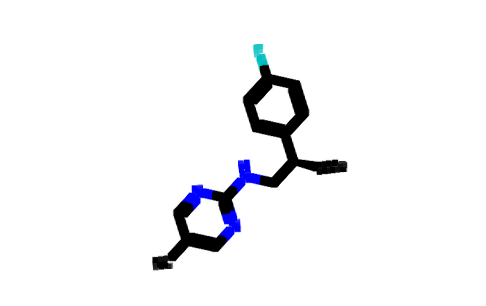 CN[C@@H](CNc1ncc(C#N)cn1)c1ccc(F)cc1